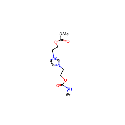 CNC(=O)OCC[n+]1ccn(CCOC(=O)NC(C)C)c1